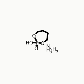 N.N.O=P1(O)OCCCCO1